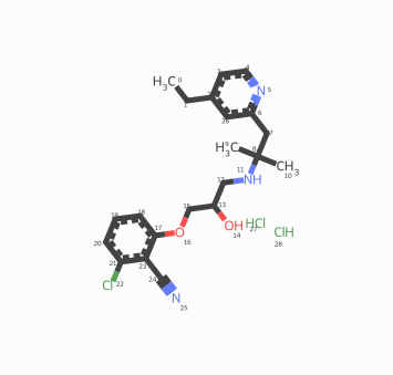 CCc1ccnc(CC(C)(C)NCC(O)COc2cccc(Cl)c2C#N)c1.Cl.Cl